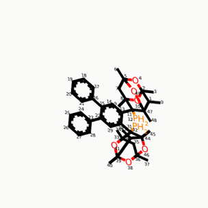 CC1C2(C)OC3(C)CC(C)(O2)C(P)(c2cc(-c4ccccc4)c(-c4ccccc4)cc2C2(P)C4(C)CC5(C)OC(C)(O4)C(C)C2(C)O5)C1(C)O3